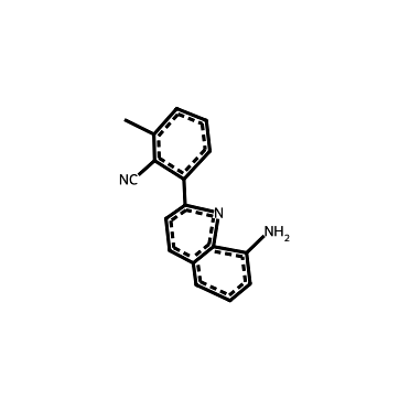 Cc1cccc(-c2ccc3cccc(N)c3n2)c1C#N